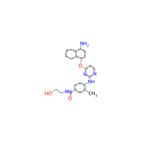 Cc1cc(C(=O)NCCO)ccc1Nc1nccc(Oc2ccc(N)c3ccccc23)n1